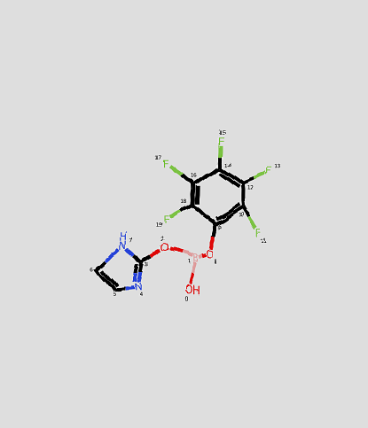 OB(Oc1ncc[nH]1)Oc1c(F)c(F)c(F)c(F)c1F